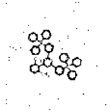 Cc1cccc(C)c1-c1cc(-c2cccc([Si](C3=CCCC=C3)(c3ccccc3)c3ccccc3)c2)nc(-c2cccc([Si](c3ccccc3)(c3ccccc3)c3ccccc3)c2)c1